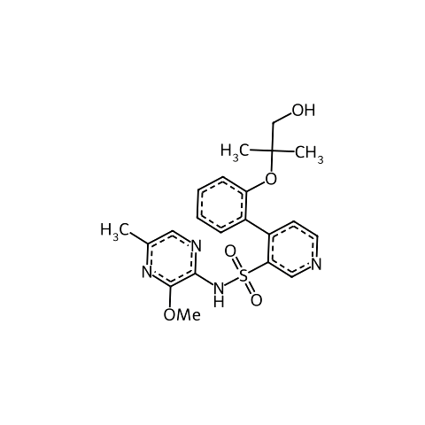 COc1nc(C)cnc1NS(=O)(=O)c1cnccc1-c1ccccc1OC(C)(C)CO